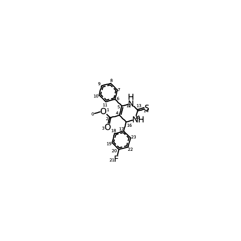 COC(=O)C1=C(c2ccccc2)NC(=S)NC1c1ccc(F)cc1